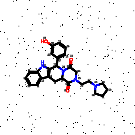 O=C1C2Cc3c([nH]c4ccccc34)C(c3cccc(O)c3)N2C(=O)CN1CCN1CCCC1